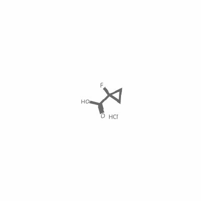 Cl.O=C(O)C1(F)CC1